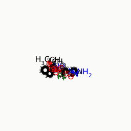 CC(C)OC(=O)[C@H](C)NP(=O)(OC[C@@]1(C(F)F)O[C@@H](n2ccc(N)nc2=O)C[C@@H]1O)OC1CCCC2CCCCCC21